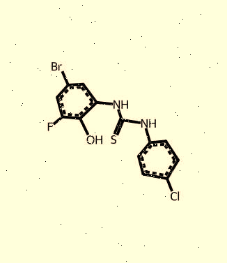 Oc1c(F)cc(Br)cc1NC(=S)Nc1ccc(Cl)cc1